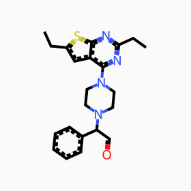 CCc1nc(N2CCN(C(C=O)c3ccccc3)CC2)c2cc(CC)sc2n1